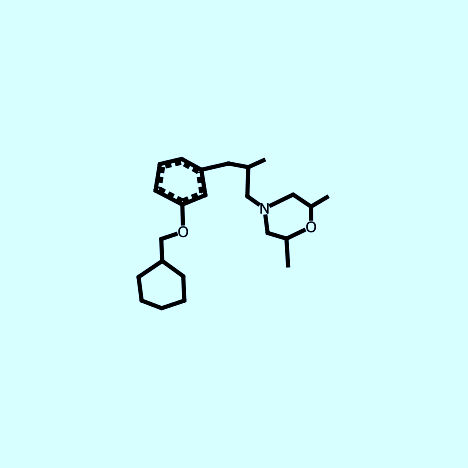 CC(Cc1cccc(OCC2CCCCC2)c1)CN1CC(C)OC(C)C1